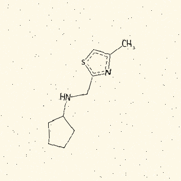 Cc1csc(CNC2CCCC2)n1